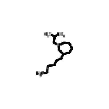 CCCCCCC1CCCCN(CC(C)C)C1